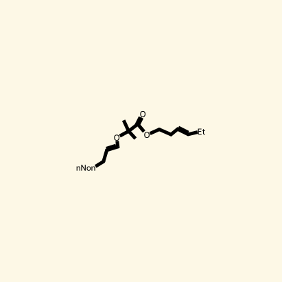 CCC=CCCOC(=O)C(C)(C)OC=CCCCCCCCCCC